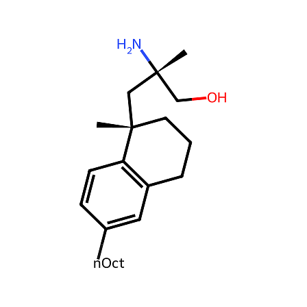 CCCCCCCCc1ccc2c(c1)CCC[C@@]2(C)C[C@](C)(N)CO